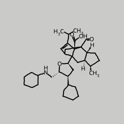 CC(C)C1=CC2CC3(C=O)[C@@H]4CC[C@@H](C)[C@H]4CC2([C@H]2C[C@@H](C4CCCCC4)[C@H](CNC4CCCCC4)O2)[C@]13C(=O)O